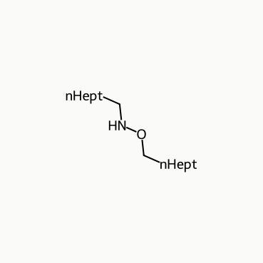 CCCCCCCCNOCCCCCCCC